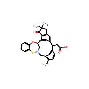 Cc1ccc2cc1CN1C[C@H](Oc3ccccc3S1)c1cc(cc3c1C(=O)C(C)(C)C3)C2CC(=O)O